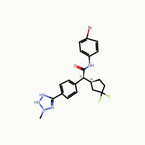 CN1N=C(c2ccc([C@@H](C(=O)Nc3ccc(Br)cc3)[C@H]3CCC(F)(F)C3)cc2)NN1